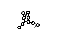 c1ccc(-c2ccc(N(c3ccc(-c4ccc5c(c4)sc4ccccc45)cc3)c3ccc4c(c3)C3(c5ccccc5-c5ccccc53)c3ccccc3-4)cc2)cc1